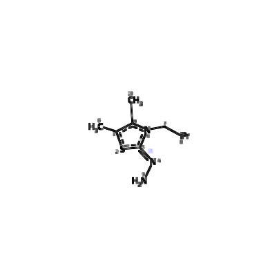 Cc1s/c(=N\N)n(CC(C)C)c1C